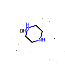 C1CNCCN1.[LiH]